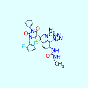 CCNC(=O)Nc1ccc(-c2sc3c(c2CN(C)CCn2cnnn2)c(=O)n(-c2ccccc2)c(=O)n3Cc2c(F)cccc2F)cc1